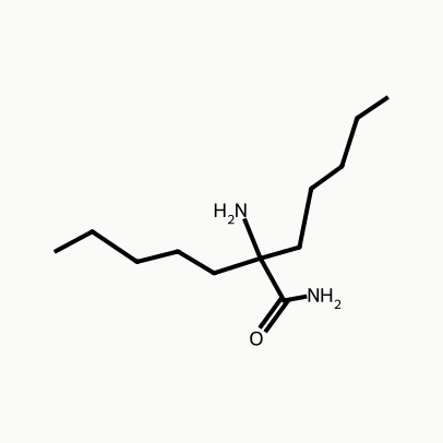 CCCCCC(N)(CCCCC)C(N)=O